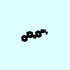 Nc1ccc(Oc2ccnc(-c3ccccc3)c2)cc1